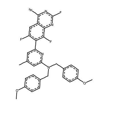 [2H]c1nc(F)nc2c(F)c(-c3cc(C)cc(N(Cc4ccc(OC)cc4)Cc4ccc(OC)cc4)n3)c(F)cc12